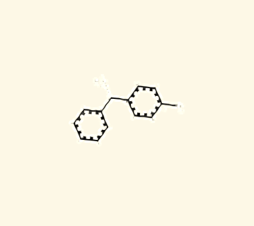 N[C@@H](c1ccccc1)c1ccc(Br)cc1